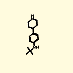 CC(C)(C)Nc1ccc(C2CCNCC2)cc1